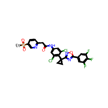 CCS(=O)(=O)c1ccc(CC(=O)Nc2cc(Cl)c(C3(c4noc(-c5cc(F)c(F)c(F)c5)n4)CC3)c(Cl)c2)nc1